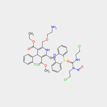 CCOC(=O)C1=C(COCCN)NC(C)=C(C(=O)OC)C1c1ccccc1Cl.O=NN(CCCl)C(=O)NCCCl.c1ccc2c(c1)Nc1ccccc1S2